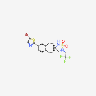 O=S1(=O)NC2(CN1CC(F)(F)F)C1CCC2Cc2cc(-c3ncc(Br)s3)ccc2C1